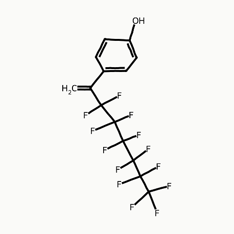 C=C(c1ccc(O)cc1)C(F)(F)C(F)(F)C(F)(F)C(F)(F)C(F)(F)C(F)(F)F